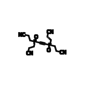 N#CCCP(=O)(C#CP(=O)(CCC#N)CCC#N)CCC#N